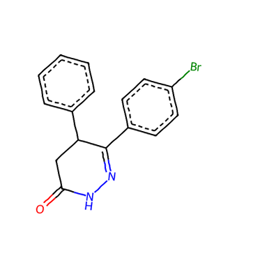 O=C1CC(c2ccccc2)C(c2ccc(Br)cc2)=NN1